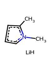 Cc1cccn1C.[LiH]